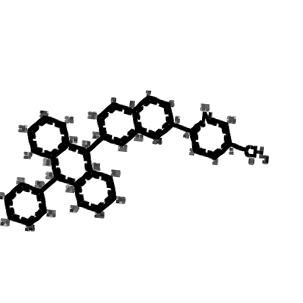 Cc1ccc(-c2ccc3ccc(-c4c5ccccc5c(-c5ccccc5)c5ccccc45)cc3c2)nc1